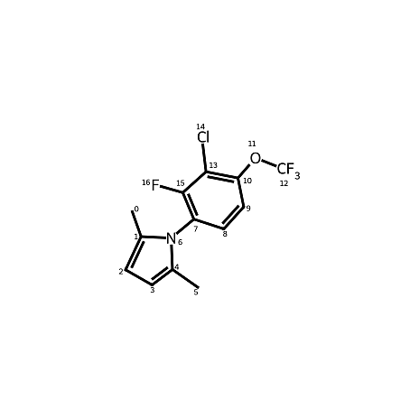 Cc1ccc(C)n1-c1ccc(OC(F)(F)F)c(Cl)c1F